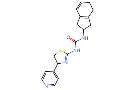 O=C(NC1=NC(c2ccncc2)CS1)NC1CC2=C(CCC=C2)C1